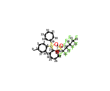 Cc1ccc(S(OS(=O)(=O)C(F)(F)C(F)(F)C(F)(F)C(F)(F)F)(c2ccccc2)c2ccccc2)c(C)c1